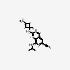 CC(C)Nc1nc(C#N)cc2cnc(NC3(C)CC(N)C3)nc12